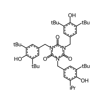 CC(C)c1cc(Cn2c(=O)n(Cc3cc(C(C)(C)C)c(O)c(C(C)(C)C)c3)c(=O)n(Cc3cc(C(C)(C)C)c(O)c(C(C)(C)C)c3)c2=O)cc(C(C)(C)C)c1O